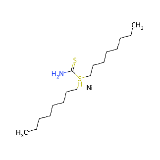 CCCCCCCC[SH](CCCCCCCC)C(N)=S.[Ni]